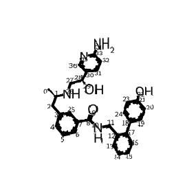 C[C@H](Cc1cccc(C(=O)NCc2ccccc2-c2ccc(O)cc2)c1)NC[C@H](O)c1ccc(N)nc1